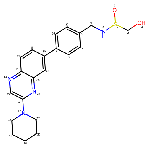 [O-][S+](CO)NCc1ccc(-c2ccc3ncc(N4CCCCC4)nc3c2)cc1